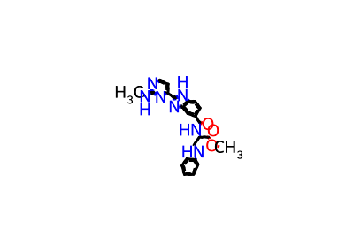 CNc1nccc(-c2nc3cc(C(=O)NC(CNc4ccccc4)C(=O)OC)ccc3[nH]2)n1